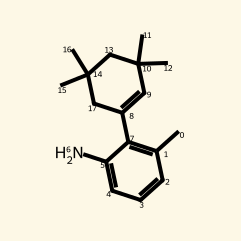 Cc1cccc(N)c1C1=CC(C)(C)CC(C)(C)C1